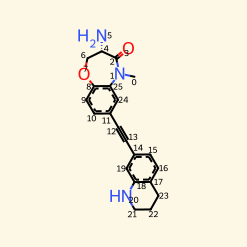 CN1C(=O)[C@@H](N)COc2ccc(C#Cc3ccc4c(c3)NCCC4)cc21